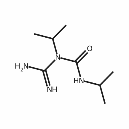 CC(C)NC(=O)N(C(=N)N)C(C)C